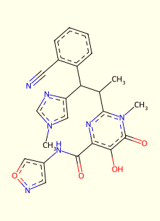 CC(c1nc(C(=O)Nc2cnoc2)c(O)c(=O)n1C)C(c1cn(C)cn1)c1ccccc1C#N